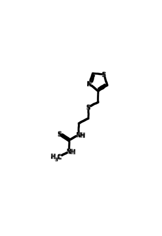 CNC(=S)NCCSCc1cscn1